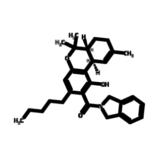 CCCCCc1cc2c(c(O)c1C(=O)N1Cc3ccccc3C1)[C@@H]1C=C(C)CC[C@H]1C(C)(C)O2